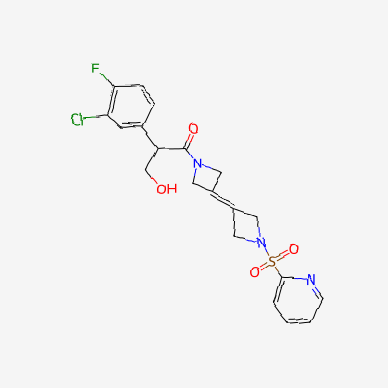 O=C(C(CO)c1ccc(F)c(Cl)c1)N1CC(=C2CN(S(=O)(=O)c3ccccn3)C2)C1